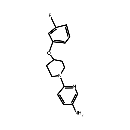 Nc1ccc(N2CCC(Oc3cccc(F)c3)CC2)nc1